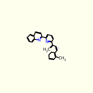 C=C(/C=C\C1=C(C)C=CCC1)c1cccc(-c2ccc3ccccc3n2)n1